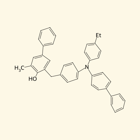 CCc1ccc(N(c2ccc(Cc3cc(-c4ccccc4)cc(C)c3O)cc2)c2ccc(-c3ccccc3)cc2)cc1